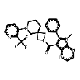 Cn1c(-c2ccccc2)c(C(=O)N2CC3(CCCN(c4cccnc4C(F)(F)F)C3)C2)c2nccnc21